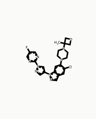 CC1(N2CCN(c3cc4c(cnn4-c4cnn(-c5ncc(F)cn5)c4)cc3Cl)CC2)COC1